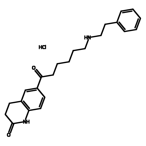 Cl.O=C1CCc2cc(C(=O)CCCCCNCCc3ccccc3)ccc2N1